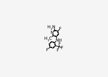 Cc1nc(N)c(F)cc1Nc1ccc(F)cc1C(F)(F)F